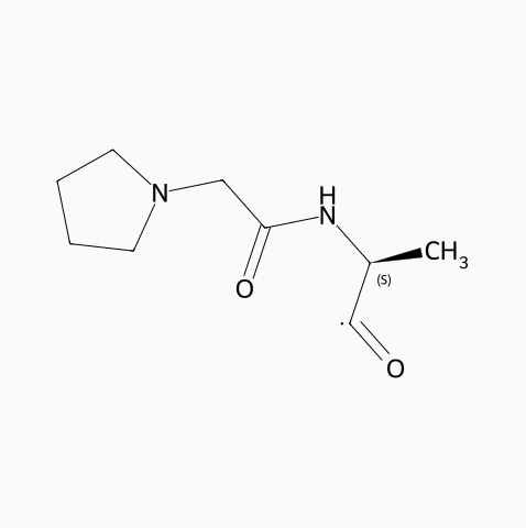 C[C@@H]([C]=O)NC(=O)CN1CCCC1